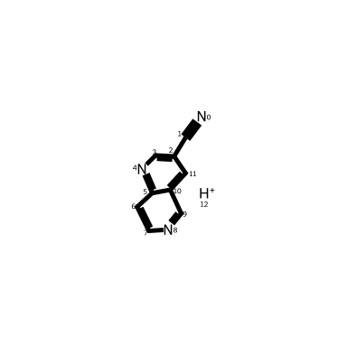 N#Cc1cnc2ccncc2c1.[H+]